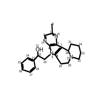 Cc1cnc2c(n1)c1c(n2CC(O)c2ccccc2)CCN2CCCCC12